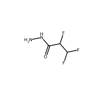 NNC(=O)C(F)C(F)F